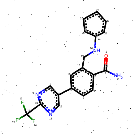 NC(=O)c1ccc(-c2cnc(C(F)(F)F)nc2)cc1CNc1ccccc1